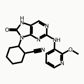 COc1ncccc1Nc1ncc2[nH]c(=O)n(C3CCCCC3C#N)c2n1